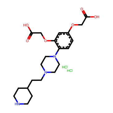 Cl.Cl.O=C(O)COc1ccc(N2CCN(CCC3CCNCC3)CC2)c(OCC(=O)O)c1